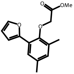 COC(=O)COc1c(C)cc(C)cc1-c1ccco1